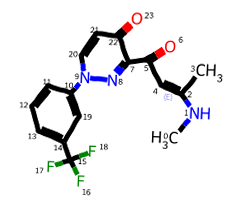 CN/C(C)=C/C(=O)c1nn(-c2cccc(C(F)(F)F)c2)ccc1=O